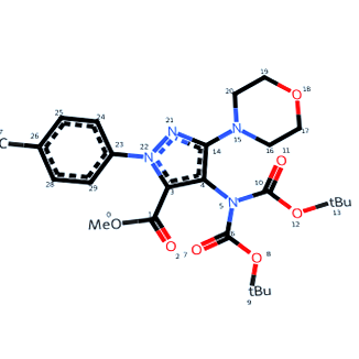 COC(=O)c1c(N(C(=O)OC(C)(C)C)C(=O)OC(C)(C)C)c(N2CCOCC2)nn1-c1ccc(C#N)cc1